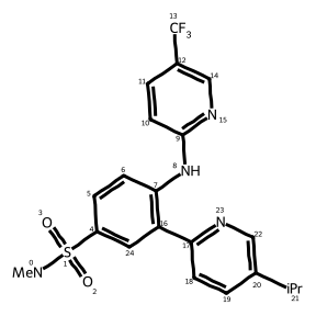 CNS(=O)(=O)c1ccc(Nc2ccc(C(F)(F)F)cn2)c(-c2ccc(C(C)C)cn2)c1